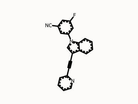 N#Cc1cc(F)cc(-n2cc(C#Cc3ccccn3)c3ccccc32)c1